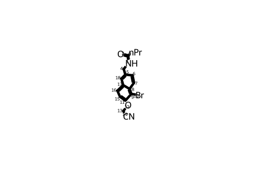 CCCC(=O)NCc1ccc2c(Br)c(OCC#N)ccc2c1